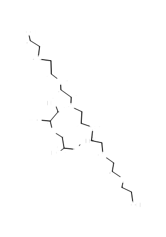 COC(C)COC(C)CO.OCCOCCOCCOCCOCCOCCOCCO